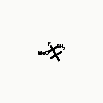 BC(F)(OC)C(C)(C)C